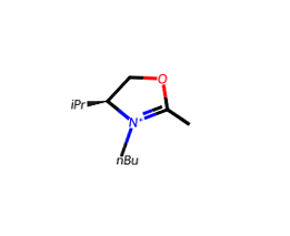 CCCC[N+]1=C(C)OC[C@@H]1C(C)C